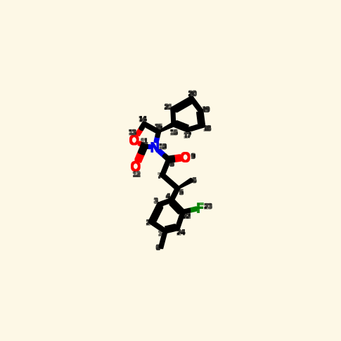 Cc1ccc([C@H](C)CC(=O)N2C(=O)OC[C@H]2c2ccccc2)c(F)c1